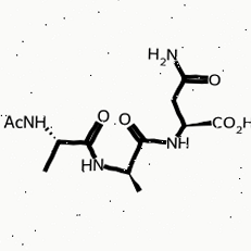 CC(=O)N[C@@H](C)C(=O)N[C@H](C)C(=O)N[C@@H](CC(N)=O)C(=O)O